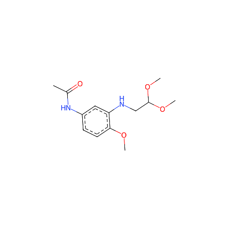 COc1ccc(NC(C)=O)cc1NCC(OC)OC